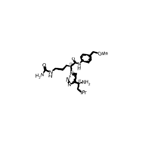 COCc1ccc(NC(=O)[C@H](CCCNC(N)=O)n2cc([C@@H](N)CC(C)C)nn2)cc1